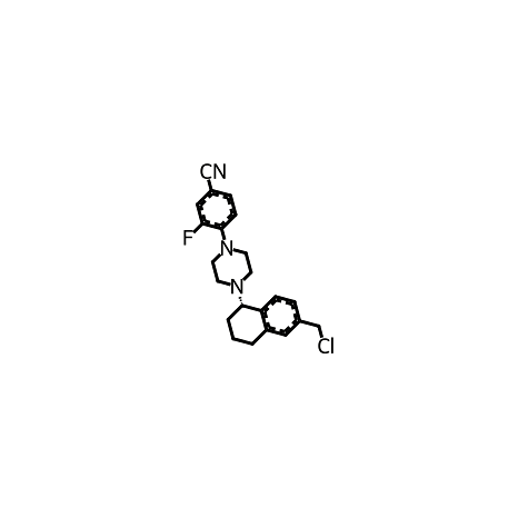 N#Cc1ccc(N2CCN([C@H]3CCCc4cc(CCl)ccc43)CC2)c(F)c1